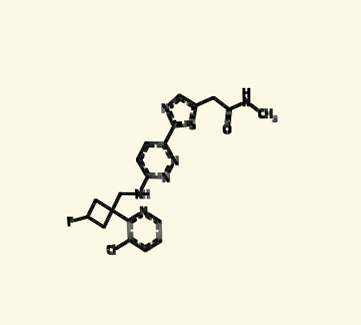 CNC(=O)Cc1cnc(-c2ccc(NCC3(c4ncccc4Cl)CC(F)C3)nn2)s1